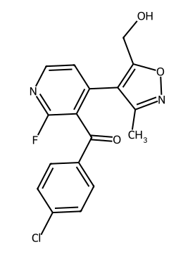 Cc1noc(CO)c1-c1ccnc(F)c1C(=O)c1ccc(Cl)cc1